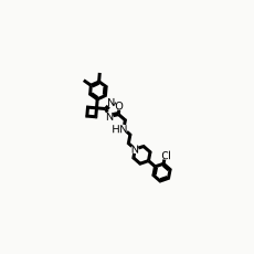 Cc1ccc(C2(c3noc(CNCCN4CCC(c5ccccc5Cl)CC4)n3)CCC2)cc1C